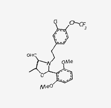 COc1cccc(OC)c1C1OC(C)C(C=O)N1CCc1ccc(OC(F)(F)F)c(Cl)c1